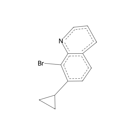 Brc1c(C2CC2)ccc2cccnc12